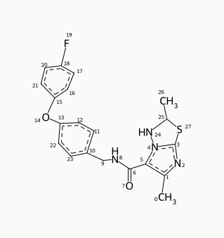 Cc1nc2n(c1C(=O)NCc1ccc(Oc3ccc(F)cc3)cc1)NC(C)S2